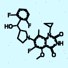 COc1c(F)c(N2CCC(C(O)c3c(F)cccc3F)C2)c(C)c2c1c(=O)[nH]c(=O)n2C1CC1